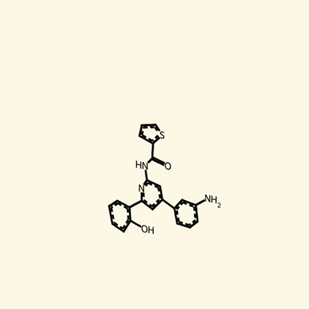 Nc1cccc(-c2cc(NC(=O)c3cccs3)nc(-c3ccccc3O)c2)c1